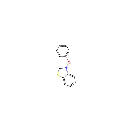 c1ccc(O[n+]2csc3ccccc32)cc1